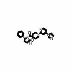 O=C1N2[C@@H](CC[C@H]2c2ccccc2)OC12CCN(c1cc(-n3ccnc3)ccn1)CC2